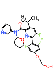 CC(C)c1cc(F)c(-c2c(F)cc(OCCO)cc2F)nc1C(=O)N(c1cccnc1)C1CCCCO1